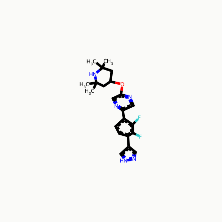 CC1(C)CC(Oc2cnc(-c3ccc(-c4cn[nH]c4)c(F)c3F)cn2)CC(C)(C)N1